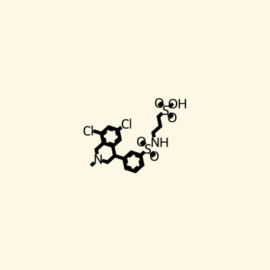 CN1Cc2c(Cl)cc(Cl)cc2C(c2cccc(S(=O)(=O)NCCCS(=O)(=O)O)c2)C1